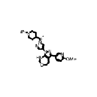 COc1ccc(-c2nn(-c3cnn([C@@H](C)C4CCN(C(C)C)CC4)c3)c3c2CCOCN3)cn1